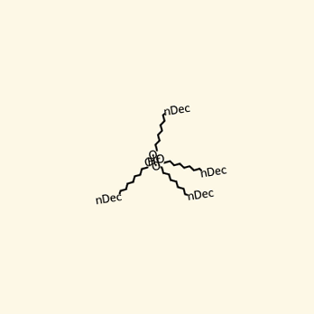 CCCCCCCCCCCCCCCCCC[O][Hf]([O]CCCCCCCCCCCCCCCCCC)([O]CCCCCCCCCCCCCCCCCC)[O]CCCCCCCCCCCCCCCCCC